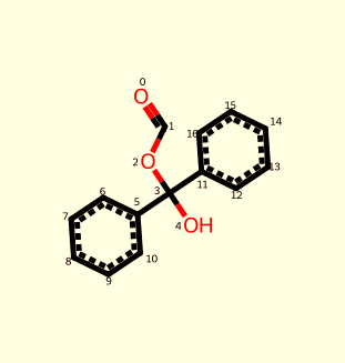 O=[C]OC(O)(c1ccccc1)c1ccccc1